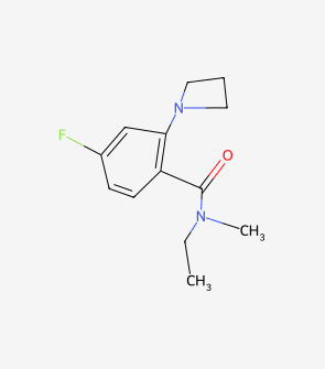 CCN(C)C(=O)c1ccc(F)cc1N1CCC1